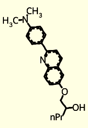 CCCC(O)COc1ccc2nc(-c3ccc(N(C)C)cc3)ccc2c1